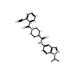 CC(C)n1ncc2cc(NC(=O)C3CCN(C(=O)c4ccccc4C#N)CC3)ccc21